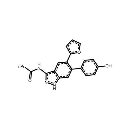 CCCC(=O)Nc1n[nH]c2cc(-c3ccc(O)cc3)c(-c3ccco3)cc12